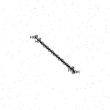 O=C(O)CCCC(=O)NCCOCCOCCOCCOCCOCCOCCOCCOCCOCCOCCOCCOCCC(=O)NCC(=O)O